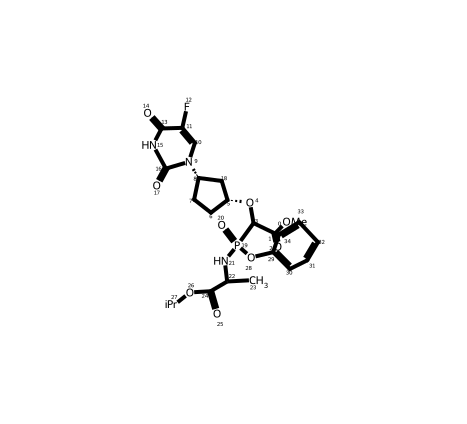 COC(=O)C(O[C@@H]1CC[C@H](n2cc(F)c(=O)[nH]c2=O)C1)P(=O)(NC(C)C(=O)OC(C)C)Oc1ccccc1